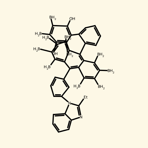 Bc1c(B)c(O)c(-c2ccccc2-c2c3c(B)c(B)c(B)c(B)c3c(-c3cccc(-n4c(CC)nc5ccccc54)c3)c3c(B)c(B)c(B)c(B)c23)c(B)c1O